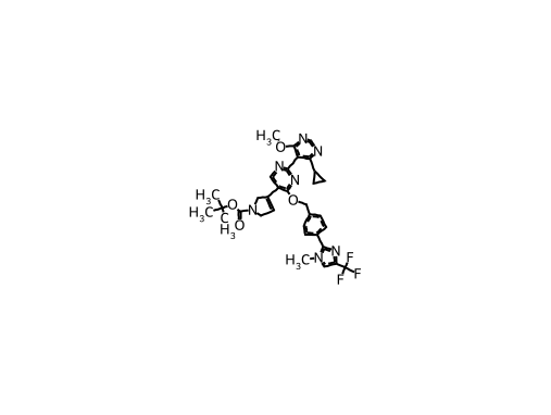 COc1ncnc(C2CC2)c1-c1ncc(C2=CCN(C(=O)OC(C)(C)C)C2)c(OCc2ccc(-c3nc(C(F)(F)F)cn3C)cc2)n1